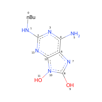 CCCCNc1nc(N)c2nc(O)n(O)c2n1